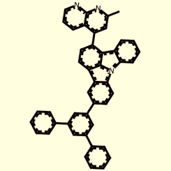 Cc1cc(-c2ccc3c4cc(-c5cc(-c6ccccc6)cc(-c6ccccc6)c5)ccc4n4c5ccccc5c2c34)c2cccnc2n1